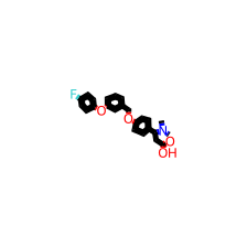 CN(C)C(CC(=O)O)c1ccc(OCc2cccc(Oc3ccc(F)cc3)c2)cc1